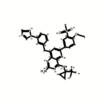 COc1ccc(-c2cc(Cc3cccc(-n4cncn4)c3)c3nc(N)nc(NC4(C(F)(F)F)CC4)c3n2)cc1S(C)(=O)=O